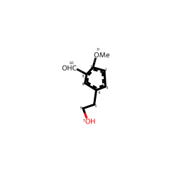 COc1ccc(CCO)cc1C=O